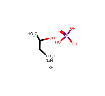 O=C(O)CC(O)C(=O)O.O=P(O)(O)O.[KH].[NaH]